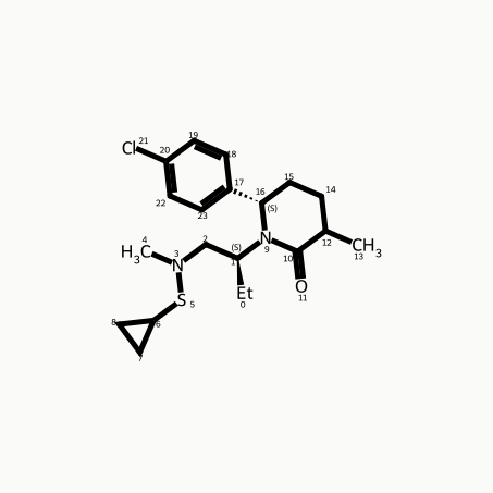 CC[C@@H](CN(C)SC1CC1)N1C(=O)C(C)CC[C@H]1c1ccc(Cl)cc1